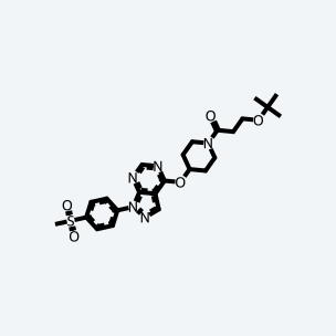 CC(C)(C)OCCC(=O)N1CCC(Oc2ncnc3c2cnn3-c2ccc(S(C)(=O)=O)cc2)CC1